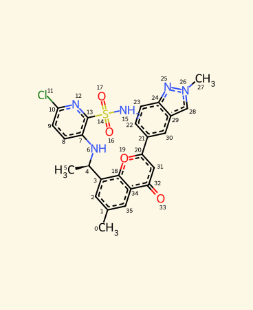 Cc1cc([C@@H](C)Nc2ccc(Cl)nc2S(N)(=O)=O)c2oc(-c3ccc4nn(C)cc4c3)cc(=O)c2c1